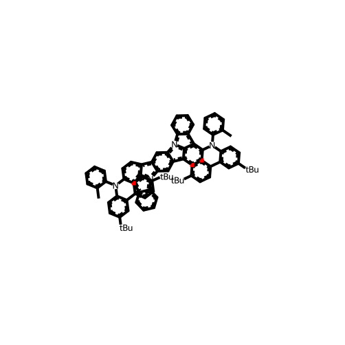 Cc1ccccc1N(c1ccc(C(C)(C)C)cc1-c1ccc(C(C)(C)C)cc1)c1ccc2c3cc4c(cc3n3c5ccccc5c1c23)c1ccc(N(c2ccccc2C)c2ccc(C(C)(C)C)cc2-c2ccc(C(C)(C)C)cc2)c2c3ccccc3n4c12